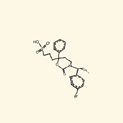 C[C@@H](c1ccc(Br)cc1)N1CCC(CCCS(=O)(=O)O)(c2ccccc2)OC1=O